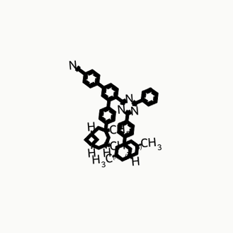 C[C@@H]1C[C@@H]2C[C@H](C)CC(c3ccc(-c4nc(-c5ccccc5)nc(-c5ccc(-c6ccc(C#N)cc6)cc5-c5ccc(C6(C)C[C@@H](C)C[C@H]7C[C@@H](C6)C7)cc5)n4)cc3)(C1)C2